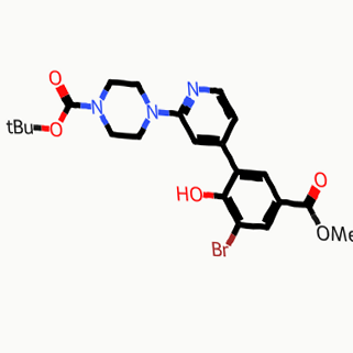 COC(=O)c1cc(Br)c(O)c(-c2ccnc(N3CCN(C(=O)OC(C)(C)C)CC3)c2)c1